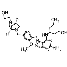 CCC[C@@H](CCO)Nc1nc(N)nc2cnn(Cc3ncc(CN4C[C@H]5C[C@@H]4CN5CCO)cc3OC)c12